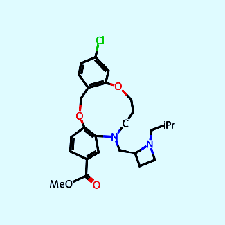 COC(=O)c1ccc2c(c1)N(C[C@@H]1CCN1CC(C)C)CCCOc1cc(Cl)ccc1CO2